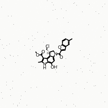 COC(=O)c1c(C)[nH]c2c(O)cc3c(c12)[C@H](CCl)CN3C(=O)c1cc2cc(C)ccc2o1